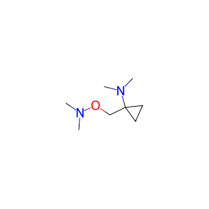 CN(C)OCC1(N(C)C)CC1